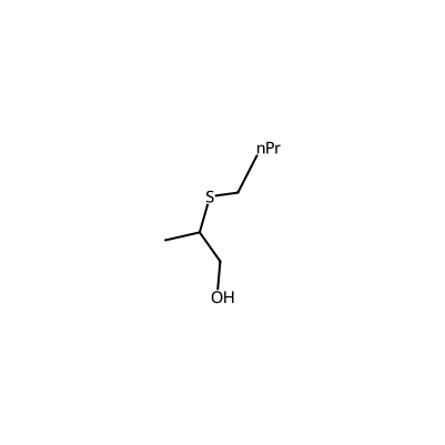 CCCCSC(C)CO